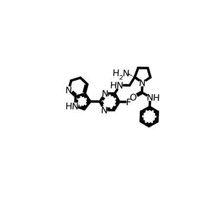 N[C@]1(CNc2nc(-c3c[nH]c4c3=CCCN=4)ncc2F)CCCN1C(=O)Nc1ccccc1